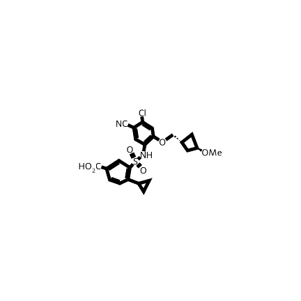 CO[C@H]1C[C@H](COc2cc(Cl)c(C#N)cc2NS(=O)(=O)c2cc(C(=O)O)ccc2C2CC2)C1